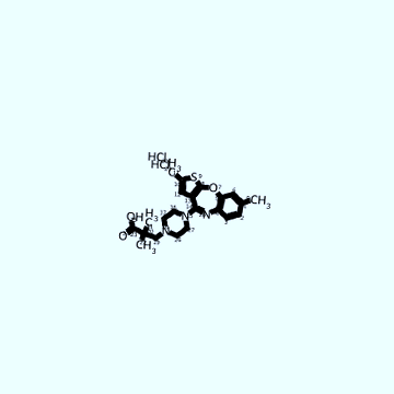 Cc1ccc2c(c1)Oc1sc(C)cc1C(N1CCN(CC(C)(C)C(=O)O)CC1)=N2.Cl.Cl